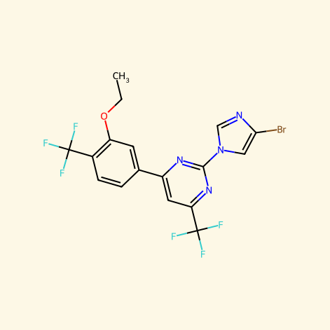 CCOc1cc(-c2cc(C(F)(F)F)nc(-n3cnc(Br)c3)n2)ccc1C(F)(F)F